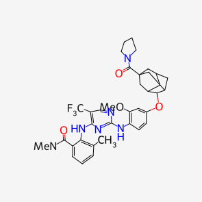 CNC(=O)c1cccc(C)c1Nc1nc(Nc2ccc(OC3C4CC5CC3CC(C(=O)N3CCCC3)(C5)C4)cc2OC)ncc1C(F)(F)F